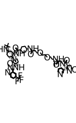 CN1C(=O)C[C@H](C(=O)NCC(=O)NCCOCCOCCC(=O)NC2CCC(C(=O)N[C@@H]3C[C@H](NC(C)(C)C)CC[C@@H]3N3CC[C@H](Nc4ncnc5ccc(C(F)(F)F)cc45)C3=O)CC2)[C@H]1c1cccnc1